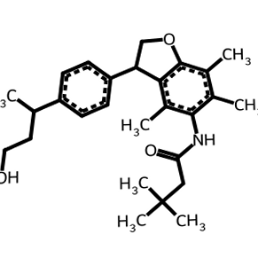 Cc1c(C)c2c(c(C)c1NC(=O)CC(C)(C)C)C(c1ccc(C(C)CCO)cc1)CO2